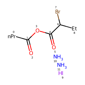 CCCC(=O)OC(=O)C(Br)CC.I.N.N